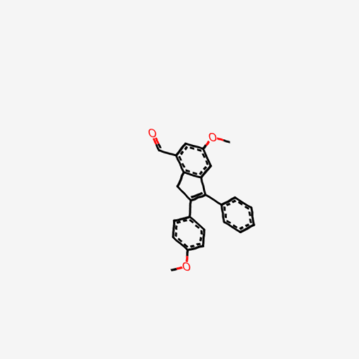 COc1ccc(C2=C(c3ccccc3)c3cc(OC)cc(C=O)c3C2)cc1